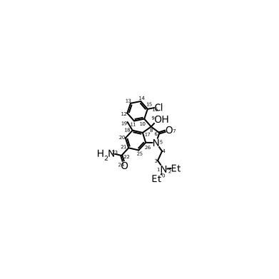 CCN(CC)CCN1C(=O)C(O)(c2ccccc2Cl)c2c(C)cc(C(N)=O)cc21